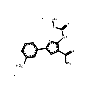 CC(C)(C)OC(=O)Nc1sc(-c2cccc(C(=O)O)c2)cc1C(N)=O